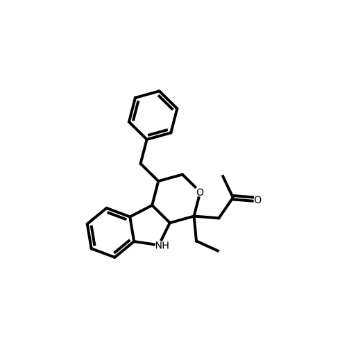 CCC1(CC(C)=O)OCC(Cc2ccccc2)C2c3ccccc3NC21